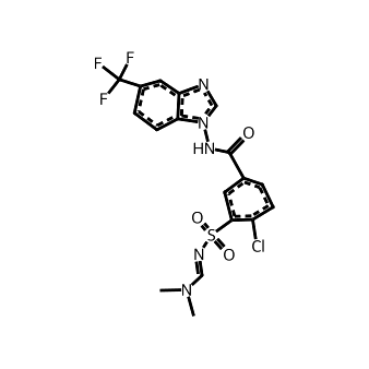 CN(C)C=NS(=O)(=O)c1cc(C(=O)Nn2cnc3cc(C(F)(F)F)ccc32)ccc1Cl